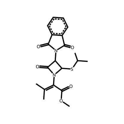 COC(=O)C(=C(C)C)N1C(=O)C(N2C(=O)c3ccccc3C2=O)C1SC(C)C